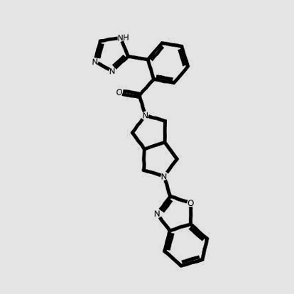 O=C(c1ccccc1-c1nnc[nH]1)N1CC2CN(c3nc4ccccc4o3)CC2C1